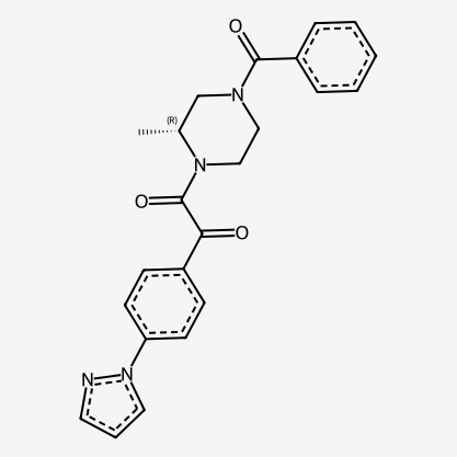 C[C@@H]1CN(C(=O)c2ccccc2)CCN1C(=O)C(=O)c1ccc(-n2cccn2)cc1